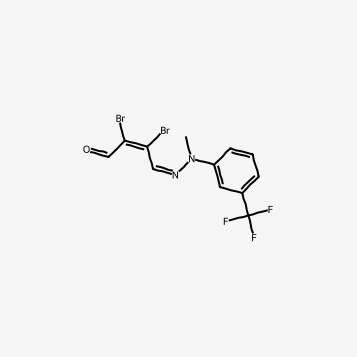 CN(/N=C\C(Br)=C(\Br)C=O)c1cccc(C(F)(F)F)c1